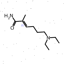 CCN(CC)CCC/C=C(\C)C(N)=O